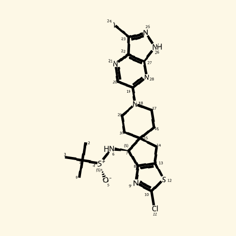 CC(C)(C)[S@@+]([O-])N[C@@H]1c2nc(Cl)sc2CC12CCN(c1cnc3c(I)n[nH]c3n1)CC2